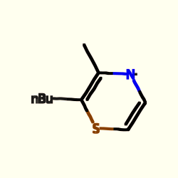 CCCCC1=C(C)[N]C=CS1